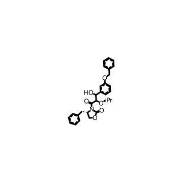 CC(C)OC(C(=O)N1C(=O)OC[C@@H]1Cc1ccccc1)C(O)c1cccc(OCc2ccccc2)c1